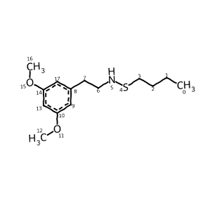 CCCCSNCCc1cc(OC)cc(OC)c1